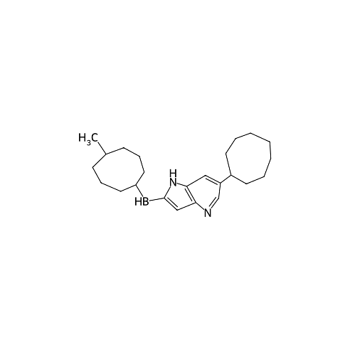 CC1CCCC(Bc2cc3ncc(C4CCCCCCC4)cc3[nH]2)CCC1